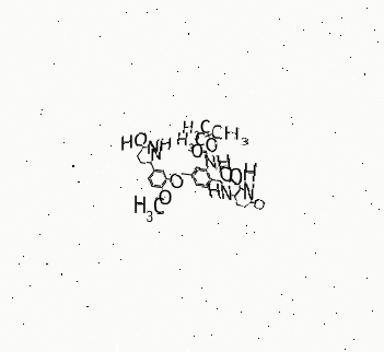 COc1ccc(C2=NNC(O)CC2)cc1OCc1ccc(C(=O)NC2CCC(=O)NC2=O)c(NC(=O)OC(C)(C)C)c1